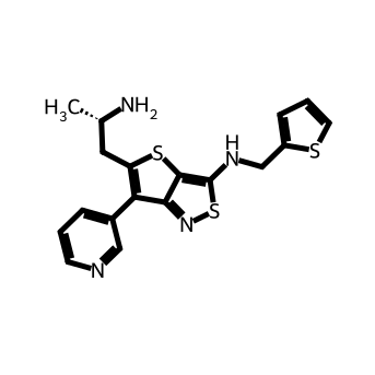 C[C@H](N)Cc1sc2c(NCc3cccs3)snc2c1-c1cccnc1